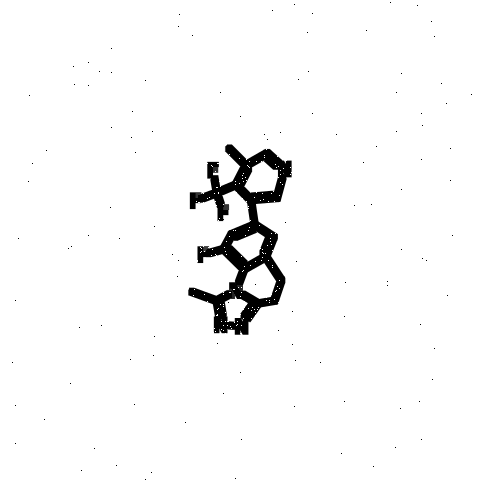 Cc1cncc(-c2cc(F)c3c(c2)CCc2nnc(C)n2-3)c1C(F)(F)F